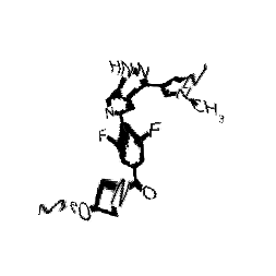 COC1CN(C(=O)c2cc(F)c(-c3cc4c(-c5cnn(C)c5)n[nH]c4cn3)c(F)c2)C1